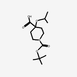 CC(C)OC1(C(=O)O)CCN(C(=O)OC(C)(C)C)CC1